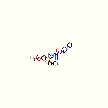 COc1ccc2c(c1)OC(C)(C)c1cn(CNC(=O)CN3CCN(c4ccccc4)CC3)nc1-2